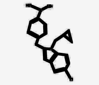 OB(O)c1ccc(Cc2cc3cc(Cl)ccc3n2CC2CC2)cc1